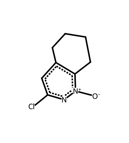 [O-][n+]1nc(Cl)cc2c1CCCC2